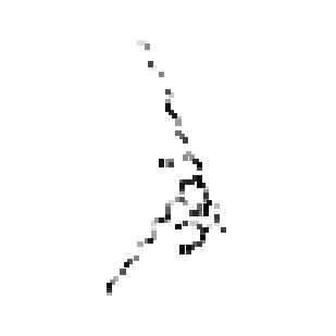 CCCCCCCCCCC(O)CN(CCCC(C)C(C=O)OC)CC(O)CCCCCCCCCC